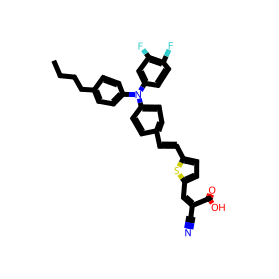 CCCCc1ccc(N(c2ccc(/C=C/c3ccc(/C=C(/C#N)C(=O)O)s3)cc2)c2ccc(F)c(F)c2)cc1